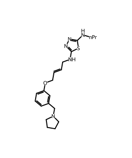 CCCNc1nnc(NC/C=C/COc2cccc(CN3CCCC3)c2)s1